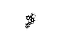 NC1c2ccccc2-c2c(-c3nc4cncnc4[nH]3)cccc21